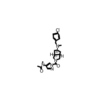 CC(=O)N(C)c1cnn(C(=O)N2C[C@H]3C[C@@H](N(C)Cc4ccc(Cl)cc4)C[C@H]3C2)c1